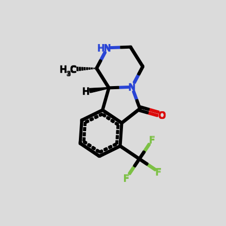 C[C@@H]1NCCN2C(=O)c3c(cccc3C(F)(F)F)[C@H]12